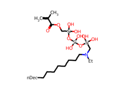 C=C(C)C(=O)OC[Si](O)(O)O[Si](O)(O)O[Si](O)(O)CN(CC)CCCCCCCCCCCCCCCCCC